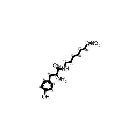 NC(Cc1ccc(O)cc1)C(=O)NCCCCCCO[N+](=O)[O-]